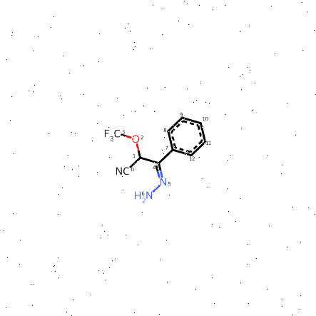 N#CC(OC(F)(F)F)C(=NN)c1ccccc1